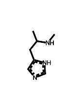 CNC(C)Cc1cnc[nH]1